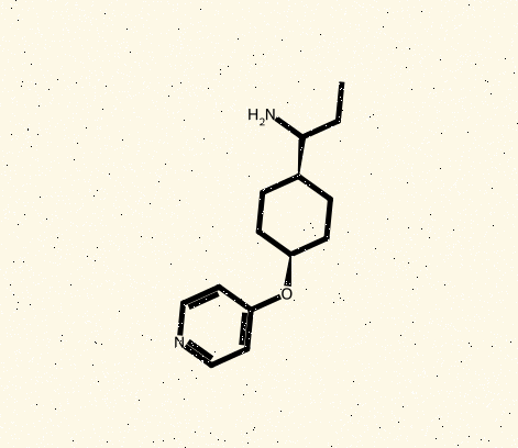 CCC(N)[C@H]1CC[C@@H](Oc2ccncc2)CC1